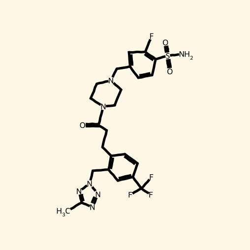 Cc1nnn(Cc2cc(C(F)(F)F)ccc2CCC(=O)N2CCN(Cc3ccc(S(N)(=O)=O)c(F)c3)CC2)n1